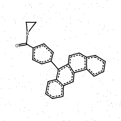 O=C(c1ccc(-c2c3ccccc3cc3c2ccc2ccccc23)cc1)N1CC1